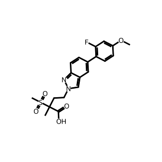 COc1ccc(-c2ccc3nn(CCC(C)(C(=O)O)S(C)(=O)=O)cc3c2)c(F)c1